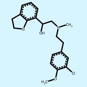 COc1ccc(CCN(C)CC(O)c2cccc3c2OCC3)cc1Cl